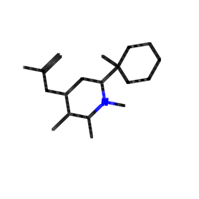 C=C(C)CC1CC(C2(C)CCCCC2)N(C)C(C)C1C